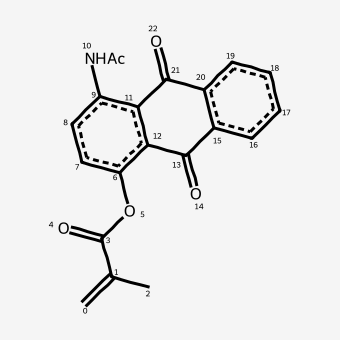 C=C(C)C(=O)Oc1ccc(NC(C)=O)c2c1C(=O)c1ccccc1C2=O